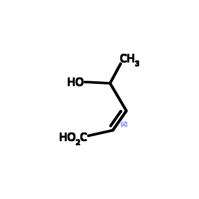 CC(O)/C=C\C(=O)O